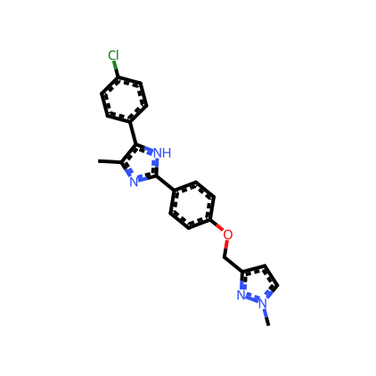 Cc1nc(-c2ccc(OCc3ccn(C)n3)cc2)[nH]c1-c1ccc(Cl)cc1